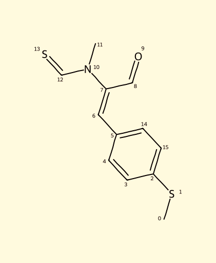 CSc1ccc(/C=C(\C=O)N(C)C=S)cc1